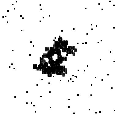 CC(C)C(=O)Nc1nc2c(ncn2[C@@H]2O[C@@H]3COP(=O)(O)O[C@@H]4[C@H](N)[C@H](n5cnc6c(=O)[nH]c(NC(=O)C(C)C)nc65)O[C@@H]4COP(=O)(O)O[C@@H]3C2O[Si](C)(C)C(C)(C)C)c(=O)[nH]1